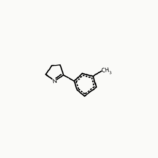 Cc1cccc(C2=NCCC2)c1